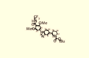 COc1cc(-n2cnc3cc(C4=CN(C(=O)OC(C)(C)C)CCC4)ccc32)cc(OC)c1C(=O)NCC(F)(F)F